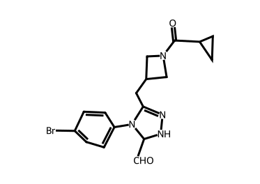 O=CC1NN=C(CC2CN(C(=O)C3CC3)C2)N1c1ccc(Br)cc1